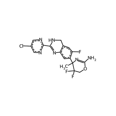 CC1(c2cc3c(cc2F)CNC(c2ncc(Cl)cn2)=N3)N=C(N)OCC1(F)F